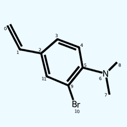 C=Cc1ccc(N(C)C)c(Br)c1